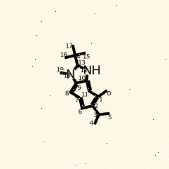 CC1=C(C(C)C)/C=C/C=C2\C(=C\1)NC(C(C)(C)C)N2C